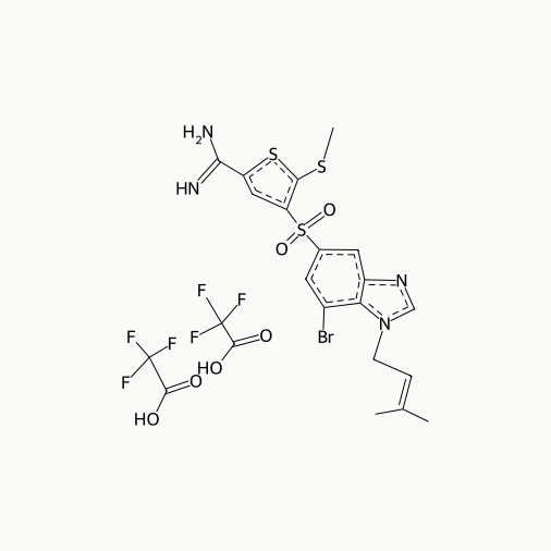 CSc1sc(C(=N)N)cc1S(=O)(=O)c1cc(Br)c2c(c1)ncn2CC=C(C)C.O=C(O)C(F)(F)F.O=C(O)C(F)(F)F